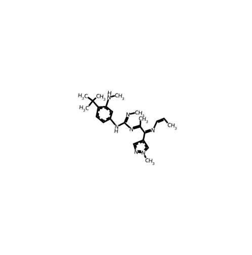 C\C=C/N=C(\C(C)=N\C(=N/C)Nc1ccc(C(C)(C)C)c(NC)c1)c1cnn(C)c1